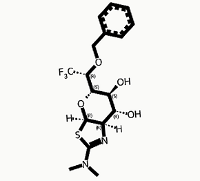 CN(C)C1=N[C@@H]2[C@@H](O)[C@H](O)[C@@H]([C@@H](OCc3ccccc3)C(F)(F)F)O[C@@H]2S1